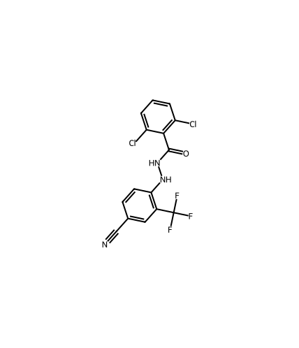 N#Cc1ccc(NNC(=O)c2c(Cl)cccc2Cl)c(C(F)(F)F)c1